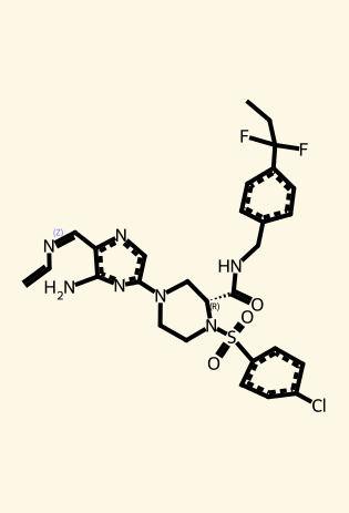 C=C/N=C\c1ncc(N2CCN(S(=O)(=O)c3ccc(Cl)cc3)[C@@H](C(=O)NCc3ccc(C(F)(F)CC)cc3)C2)nc1N